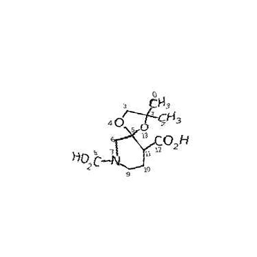 CC1(C)COC2(CN(C(=O)O)CCC2C(=O)O)O1